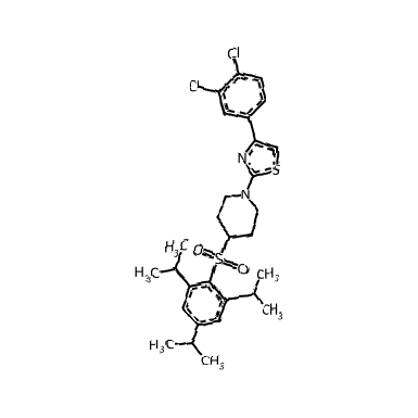 CC(C)c1cc(C(C)C)c(S(=O)(=O)C2CCN(c3nc(-c4ccc(Cl)c(Cl)c4)cs3)CC2)c(C(C)C)c1